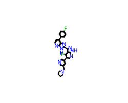 Fc1ccc(-c2ccnc3[nH]c(-c4n[nH]c5ncc(-c6cncc(CN7CCCC7)c6)c(F)c45)nc23)cc1